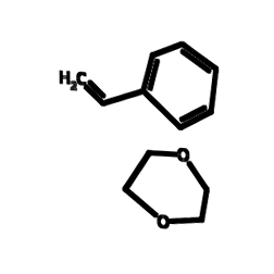 C1COCCO1.C=Cc1ccccc1